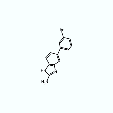 Nc1nc2cc(-c3cccc(Br)c3)ccc2[nH]1